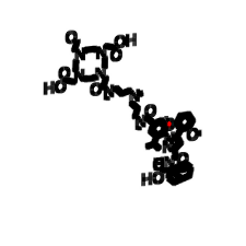 COc1cccc(OC)c1-c1cc(C(=O)NC2(C(=O)O)C3CC4CC(C3)CC2C4)nn1-c1ccc(C(=O)N(C)CCCN(C)CCCN(C)C(=O)CN2CCN(CC(=O)O)CCN(CC=O)CCN(CC(=O)O)CC2)cc1C(C)C